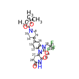 CC(C)(C)OC(=O)N1CCC(c2ccc3c(c2)n(CC(F)(F)F)c(=O)n3C2CCC(=O)NC2=O)CC1